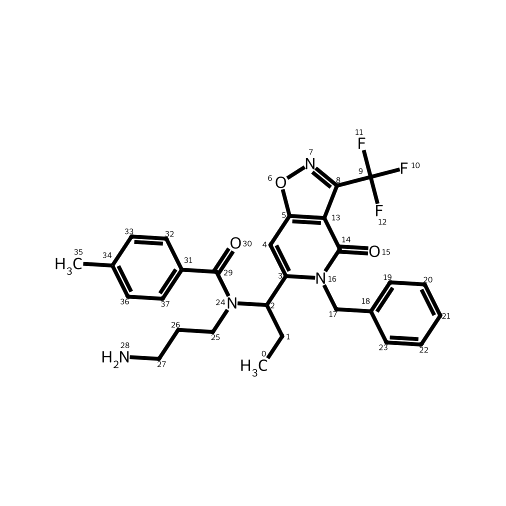 CCC(c1cc2onc(C(F)(F)F)c2c(=O)n1Cc1ccccc1)N(CCCN)C(=O)c1ccc(C)cc1